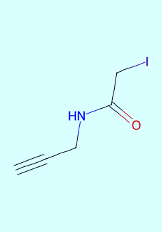 C#CCNC(=O)CI